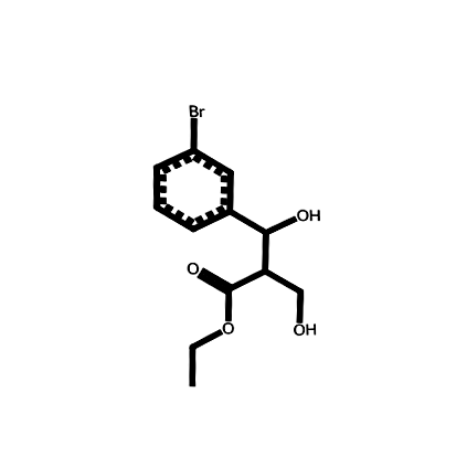 CCOC(=O)C(CO)C(O)c1cccc(Br)c1